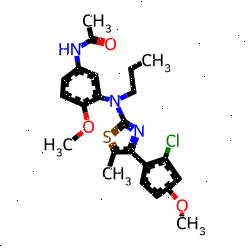 CCCN(c1nc(-c2ccc(OC)cc2Cl)c(C)s1)c1cc(NC(C)=O)ccc1OC